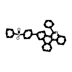 O=S(=O)(c1ccccc1)c1ccc(-c2ccc3c(c2)c2ccccc2c2c4ccccc4nc(-c4ccccc4)c32)cc1